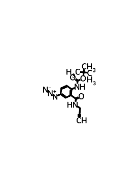 C#CCNC(=O)c1cc(N=[N+]=[N-])ccc1NC(=O)OC(C)(C)C